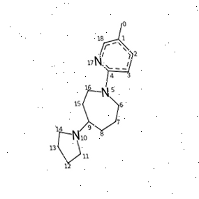 Cc1ccc(N2CCCC(N3CCCC3)CC2)nc1